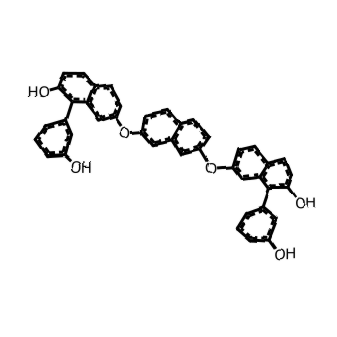 Oc1cccc(-c2c(O)ccc3ccc(Oc4ccc5ccc(Oc6ccc7ccc(O)c(-c8cccc(O)c8)c7c6)cc5c4)cc23)c1